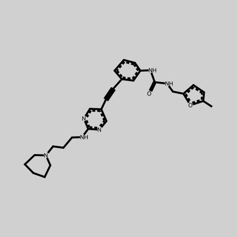 Cc1ccc(CNC(=O)Nc2cccc(C#Cc3cnc(NCCCN4CCCCC4)nc3)c2)o1